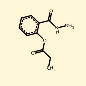 CCC(=O)Oc1ccccc1C(=O)NN